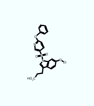 CCOc1ccc2c(CCC(=O)O)cn(S(=O)(=O)c3ccc(Oc4ccccc4)nc3)c2c1